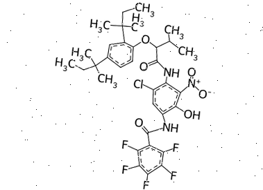 CCC(C)(C)c1ccc(OC(C(=O)Nc2c(Cl)cc(NC(=O)c3c(F)c(F)c(F)c(F)c3F)c(O)c2[N+](=O)[O-])C(C)C)c(C(C)(C)CC)c1